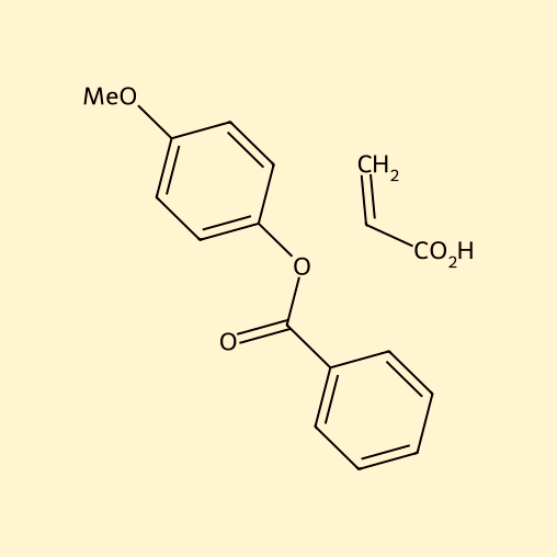 C=CC(=O)O.COc1ccc(OC(=O)c2ccccc2)cc1